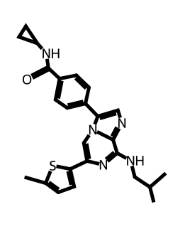 Cc1ccc(-c2cn3c(-c4ccc(C(=O)NC5CC5)cc4)cnc3c(NCC(C)C)n2)s1